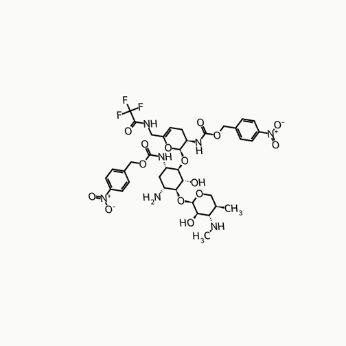 CN[C@@H]1[C@@H](O)[C@@H](O[C@@H]2[C@@H](O)[C@H](O[C@H]3OC(CNC(=O)C(F)(F)F)=CC[C@H]3NC(=O)OCc3ccc([N+](=O)[O-])cc3)[C@@H](NC(=O)OCc3ccc([N+](=O)[O-])cc3)C[C@H]2N)OC[C@H]1C